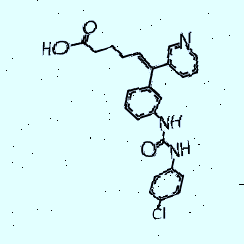 O=C(O)CCCC=C(c1cccnc1)c1cccc(NC(=O)Nc2ccc(Cl)cc2)c1